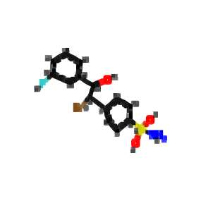 NS(=O)(=O)c1ccc(C(Br)C(=O)c2cccc(F)c2)cc1